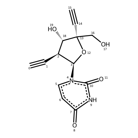 C#C[C@@H]1[C@H](n2ccc(=O)[nH]c2=O)O[C@](C#C)(CO)[C@H]1O